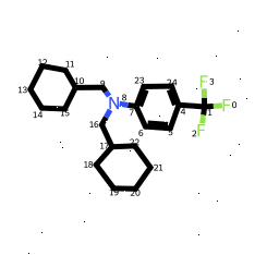 FC(F)(F)c1ccc(N(CC2CCCCC2)CC2CCCCC2)cc1